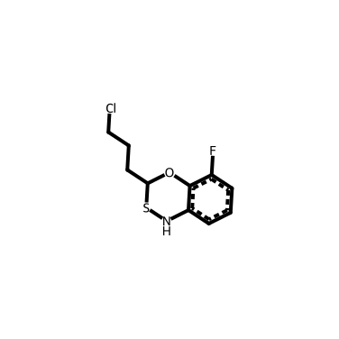 Fc1cccc2c1OC(CCCCl)SN2